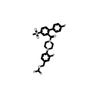 CS(=O)(=O)c1ccc(-c2ccc(F)cc2)c(C(=O)N2CCN(c3ccc(COC(F)F)cc3F)CC2)c1